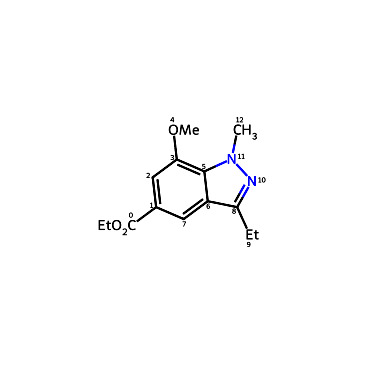 CCOC(=O)c1cc(OC)c2c(c1)c(CC)nn2C